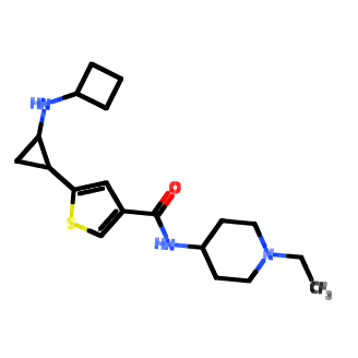 O=C(NC1CCN(CC(F)(F)F)CC1)c1csc(C2CC2NC2CCC2)c1